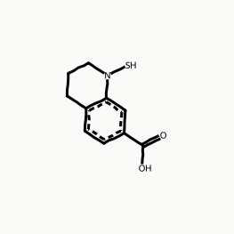 O=C(O)c1ccc2c(c1)N(S)CCC2